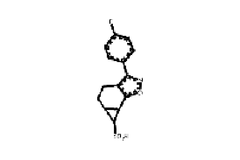 O=C(O)C1C2CCc3c(-c4ccc(F)cc4)noc3C21